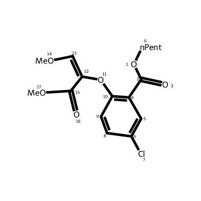 CCCCCOC(=O)c1cc(Cl)ccc1OC(=COC)C(=O)OC